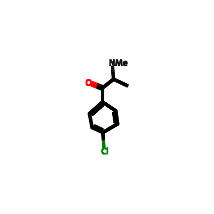 CNC(C)C(=O)c1ccc(Cl)cc1